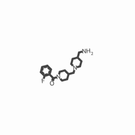 NCC1CCN(CC2CCN(C(=O)c3ccccc3F)CC2)CC1